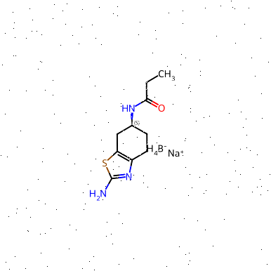 CCC(=O)N[C@H]1CCc2nc(N)sc2C1.[BH4-].[Na+]